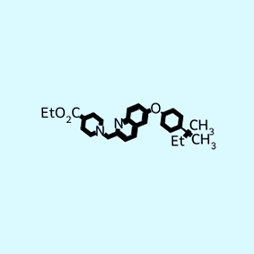 CCOC(=O)C1CCN(Cc2ccc3cc(O[C@H]4CC[C@H](C(C)(C)CC)CC4)ccc3n2)CC1